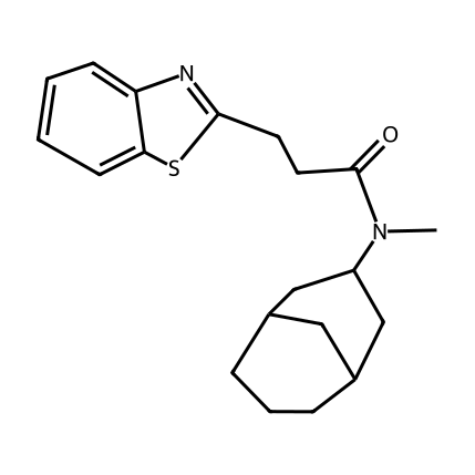 CN(C(=O)CCc1nc2ccccc2s1)C1CC2CCCC(C2)C1